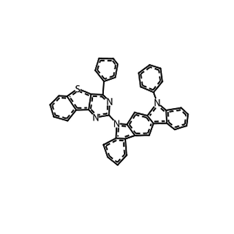 c1ccc(-c2nc(-n3c4ccccc4c4cc5c6ccccc6n(-c6ccccc6)c5cc43)nc3c2sc2ccccc23)cc1